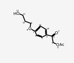 CC(=O)OCC(=O)c1ccc(OCCCO)cc1